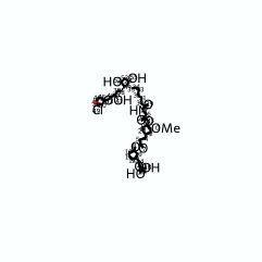 COc1cc(/C=C/C(=O)Oc2cccc(CON(O)O)c2)ccc1OC(=O)CNC(=O)CCC/C=C\C[C@@H]1[C@@H](/C=C/[C@@H](O)COc2cccc(Cl)c2)[C@H](O)C[C@@H]1O